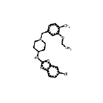 CCOc1cc(CN2CCC(Nc3nc4ccc(Cl)cc4o3)CC2)ccc1C